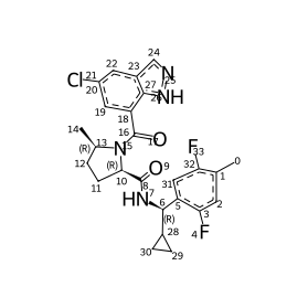 Cc1cc(F)c([C@H](NC(=O)[C@H]2CC[C@@H](C)N2C(=O)c2cc(Cl)cc3cn[nH]c23)C2CC2)cc1F